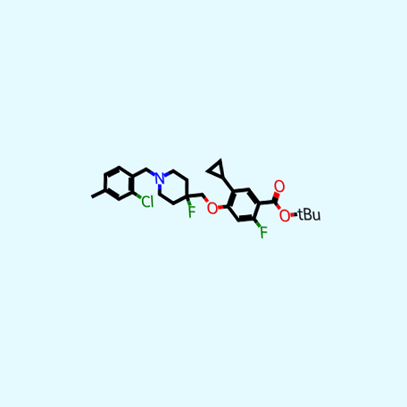 Cc1ccc(CN2CCC(F)(COc3cc(F)c(C(=O)OC(C)(C)C)cc3C3CC3)CC2)c(Cl)c1